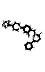 C[C@H]1CCC(c2ccccc2)SN1Cc1ccc(N2CCC(c3nnn[nH]3)CC2)cc1F